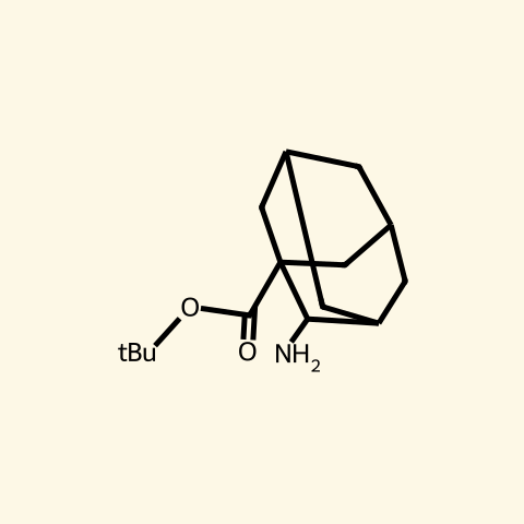 CC(C)(C)OC(=O)C12CC3CC(CC(C3)C1N)C2